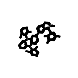 Cc1cc(C)c(C)c(-c2c3cc(-c4ccc5c(c4)B(c4c(C)cccc4C)c4ccccc4B5c4c(C)cccc4C)ccc3cc[n+]2C)c1